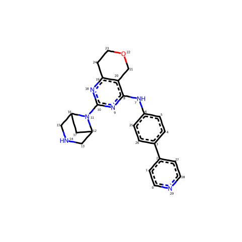 c1cc(-c2ccc(Nc3nc(N4C5CNCC4C5)nc4c3COCC4)cc2)ccn1